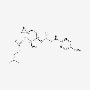 COc1cnc(NCC(=O)O[C@@H]2CC[C@]3(CO3)[C@@H](C3=C(CC=C(C)C)O3)[C@@H]2OC)nc1